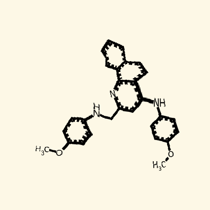 COc1ccc(NCc2cc(Nc3ccc(OC)cc3)c3ccc4ccccc4c3n2)cc1